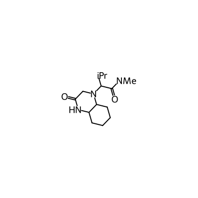 CNC(=O)C(C(C)C)N1CC(=O)NC2CCCCC21